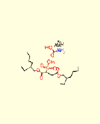 CCCCC(CC)COC(=O)CC(C(=O)OCC(CC)CCCC)S(=O)(=O)O.NC(=O)O.[NaH].[Zn]